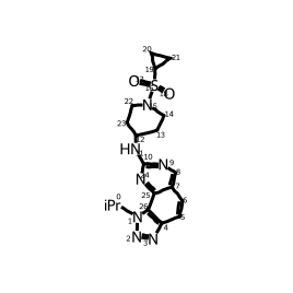 CC(C)n1nnc2ccc3cnc(NC4CCN(S(=O)(=O)C5CC5)CC4)nc3c21